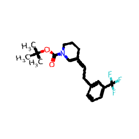 CC(C)(C)OC(=O)N1CCCC(=CCc2cccc(C(F)(F)F)c2)C1